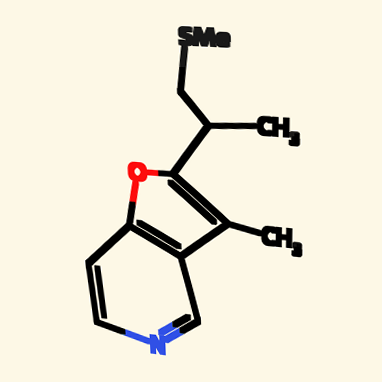 CSCC(C)c1oc2ccncc2c1C